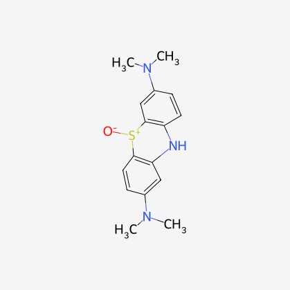 CN(C)c1ccc2c(c1)Nc1ccc(N(C)C)cc1[S+]2[O-]